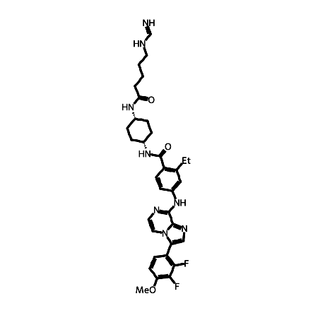 CCc1cc(Nc2nccn3c(-c4ccc(OC)c(F)c4F)cnc23)ccc1C(=O)N[C@H]1CC[C@@H](NC(=O)CCCCNC=N)CC1